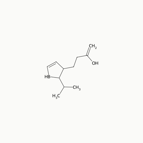 C=C(O)CCC1C=CBC1C(C)C